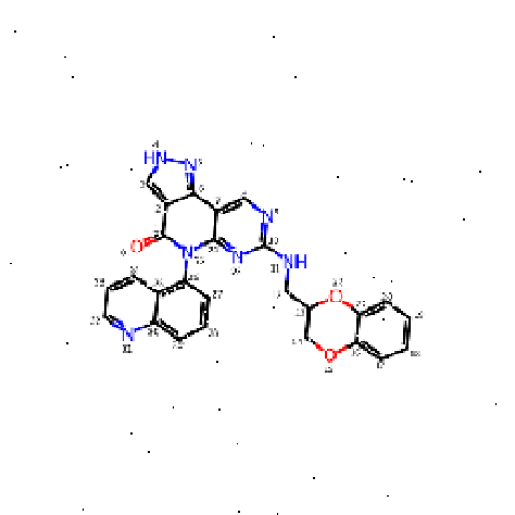 O=c1c2c[nH]nc2c2cnc(NCC3COc4ccccc4O3)nc2n1-c1cccc2ncccc12